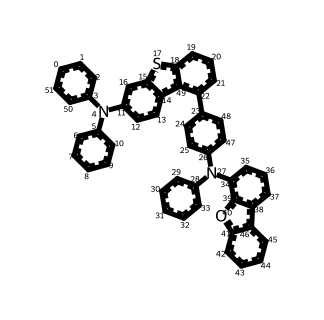 c1ccc(N(c2ccccc2)c2ccc3c(c2)sc2cccc(-c4ccc(N(c5ccccc5)c5cccc6c5oc5ccccc56)cc4)c23)cc1